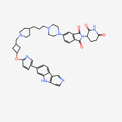 O=C1CCC(N2C(=O)c3ccc(N4CCN(CCCC5CCN(CC6CC(Oc7ccc(-c8ccc9c(c8)[nH]c8ccncc89)cn7)C6)CC5)CC4)cc3C2=O)C(=O)N1